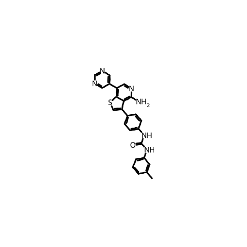 Cc1cccc(NC(=O)Nc2ccc(-c3csc4c(-c5cncnc5)cnc(N)c34)cc2)c1